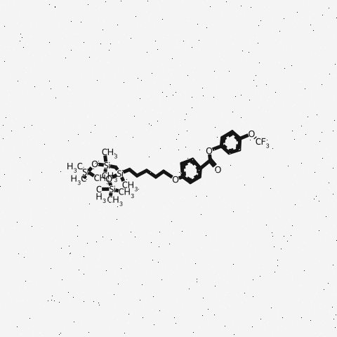 C[Si](C)(C)O[Si](C)(C)C[Si](C)(CCCCCOc1ccc(C(=O)Oc2ccc(OC(F)(F)F)cc2)cc1)O[Si](C)(C)C